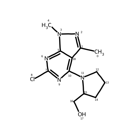 Cc1nn(C)c2nc(Cl)nc(N3CCCC3CO)c12